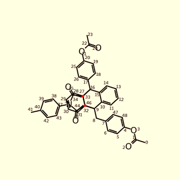 CC(=O)Oc1ccc(CC23c4ccccc4C(c4ccc(OC(C)=O)cc4)(c4ccccc42)C2C(=O)N(c4ccc(C)cc4)C(=O)C23)cc1